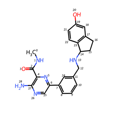 CNC(=O)c1nc(-c2cccc(CNC3CCc4cc(O)ccc43)c2)cnc1N